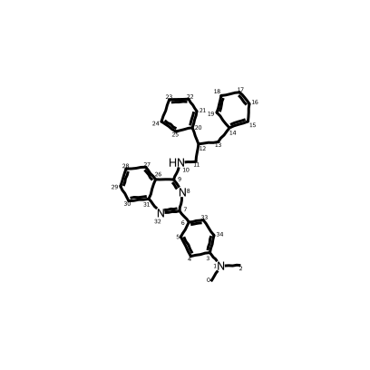 CN(C)c1ccc(-c2nc(NCC(Cc3ccccc3)c3ccccc3)c3ccccc3n2)cc1